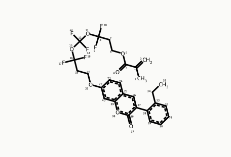 C=C(C)C(=O)OCCC(F)(F)OC(F)(F)OC(F)(F)CCOc1ccc2cc(-c3ccccc3CC)c(=O)oc2c1